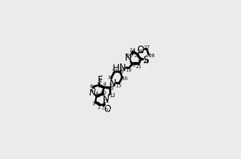 O=c1ccc2ncc(F)c3c2n1CC3N1CCC(NCc2cc3c(cn2)OCCS3)CC1